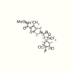 CONC(=O)c1sc2c(c1C)CN(C1=NOC(c3cc(Cl)c(F)c(Cl)c3)(C(F)(F)F)C1)C2